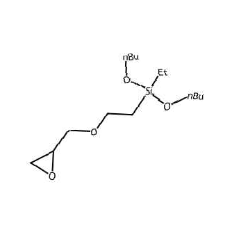 CCCCO[Si](CC)(CCOCC1CO1)OCCCC